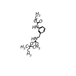 COC(=O)Nc1cccc(CNC(=O)OC(C)(C)C)c1